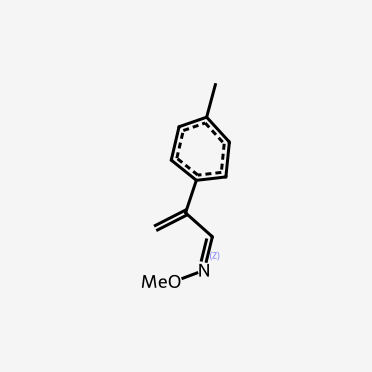 C=C(/C=N\OC)c1ccc(C)cc1